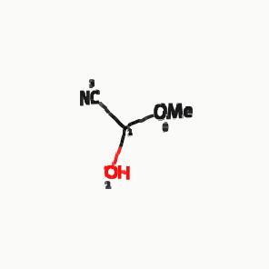 COC(O)C#N